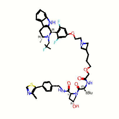 Cc1ncsc1-c1ccc(CNC(=O)[C@@H]2C[C@@H](O)CN2C(=O)[C@@H](NC(=O)COCCCC2CN(CCOc3cc(F)c([C@@H]4c5[nH]c6ccccc6c5C[C@@H](C)N4CC(C)(C)F)c(F)c3)C2)C(C)(C)C)cc1